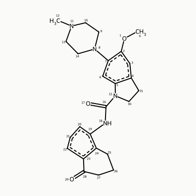 COc1cc2c(cc1N1CCN(C)CC1)N(C(=O)Nc1cccc3c1CCCC3=O)CC2